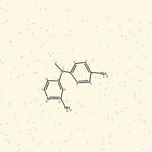 CN(c1ccc(N)cc1)c1ccnc(N)c1